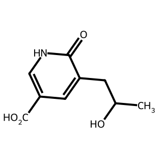 CC(O)Cc1cc(C(=O)O)c[nH]c1=O